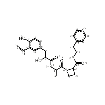 CC(NC(=O)C(O)Cc1ccc(O)c(N=O)c1)C(=O)N1CCC1C(=O)SCCc1ccncc1